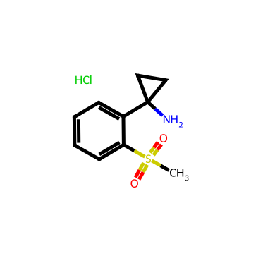 CS(=O)(=O)c1ccccc1C1(N)CC1.Cl